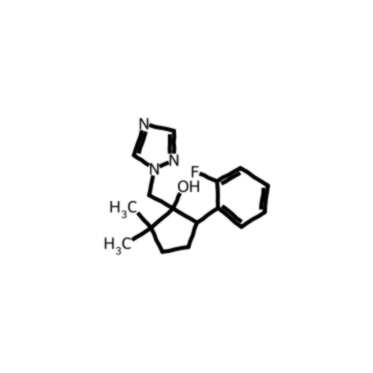 CC1(C)CCC(c2ccccc2F)C1(O)Cn1cncn1